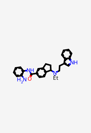 CCN(CCc1c[nH]c2ccccc12)C1CCc2cc(C(=O)Nc3ccccc3N)ccc21